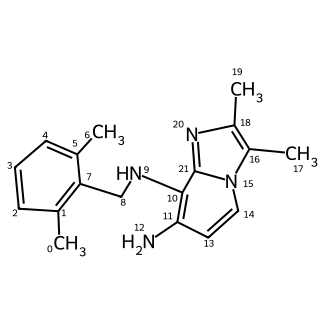 Cc1cccc(C)c1CNc1c(N)ccn2c(C)c(C)nc12